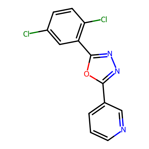 Clc1ccc(Cl)c(-c2nnc(-c3cccnc3)o2)c1